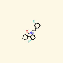 O=C(NCCc1cccc(F)c1)C1(c2ccccc2F)CCCCC1